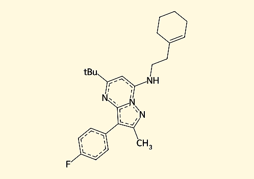 Cc1nn2c(NCCC3=CCCCC3)cc(C(C)(C)C)nc2c1-c1ccc(F)cc1